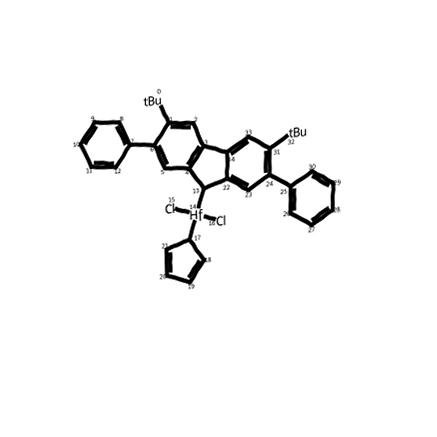 CC(C)(C)c1cc2c(cc1-c1ccccc1)[CH]([Hf]([Cl])([Cl])[CH]1C=CC=C1)c1cc(-c3ccccc3)c(C(C)(C)C)cc1-2